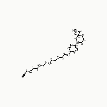 C#CCOCCOCCOCCOCCOc1cnc(N2CCCC3(CNC3)C2)nc1